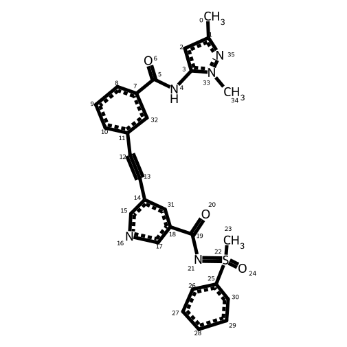 Cc1cc(NC(=O)c2cccc(C#Cc3cncc(C(=O)N=S(C)(=O)c4ccccc4)c3)c2)n(C)n1